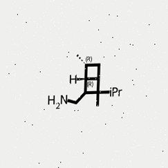 CC(C)C1(C)C(CN)[C@H]2C1C[C@H]2C